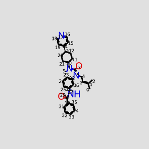 CC(C)=CCN(C(=O)N(C)[C@H]1CC[C@H](c2ccncc2)CC1)c1cccc(NC(=O)c2ccccc2)c1